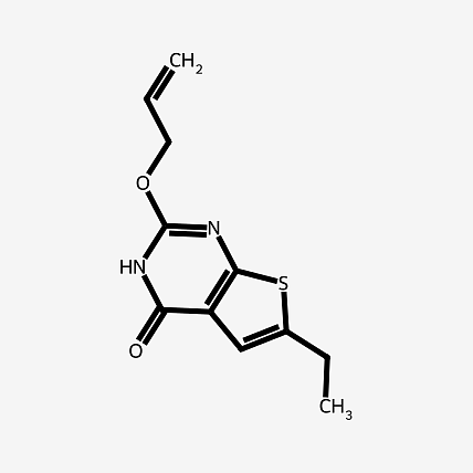 C=CCOc1nc2sc(CC)cc2c(=O)[nH]1